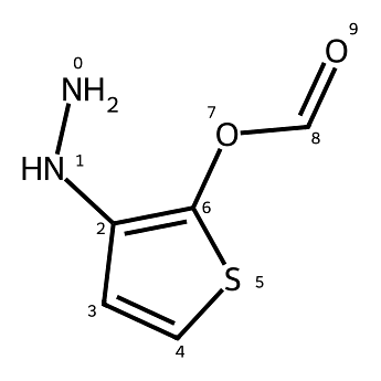 NNc1ccsc1OC=O